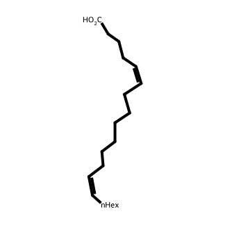 CCCCCC/C=C\CCCCCC/C=C\CCCC(=O)O